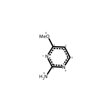 COc1[c]cnc(N)n1